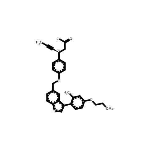 CC#C[C@@H](CC(=O)Cl)c1ccc(OCc2ccc3scc(-c4ccc(OCCOC)cc4C)c3c2)cc1